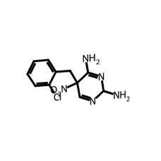 NC1=NC(N)N=CC1(Cc1ccccc1Cl)[N+](=O)[O-]